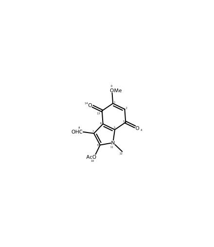 COC1=CC(=O)c2c(c(C=O)c(OC(C)=O)n2C)C1=O